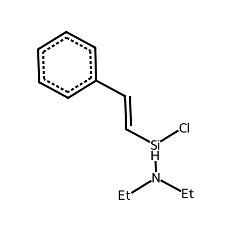 CCN(CC)[SiH](Cl)C=Cc1ccccc1